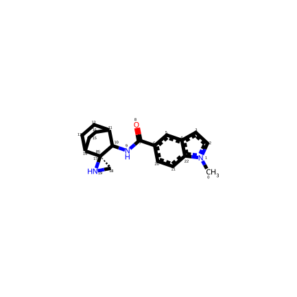 Cn1ccc2cc(C(=O)NC3C4CCC(CC4)[C@@]34CN4)ccc21